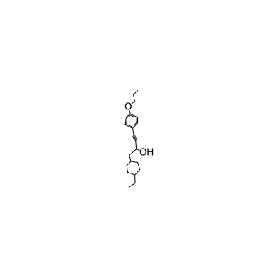 CCCOc1ccc(C#CC(O)CC2CCC(CC)CC2)cc1